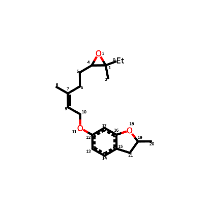 CCC1(C)OC1CCC(C)=CCOc1ccc2c(c1)OC(C)C2